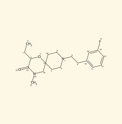 CCC1OC2(CCN(CCc3cccc(F)c3)CC2)CN(C)C1=O